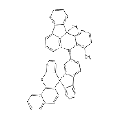 Cc1cccc2c1N(c1ccc3c(c1)C1(c4ccccc4Oc4c1ccc1ccccc41)c1ccccc1-3)c1cccc3c1C2(C)c1ccccc1-3